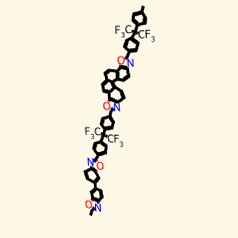 Cc1ccc(C(c2ccc(-c3nc4ccc5c(ccc6ccc7c(ccc8nc(-c9ccc(C(c%10ccc(-c%11nc%12ccc(-c%13ccc%14nc(C)oc%14c%13)cc%12o%11)cc%10)(C(F)(F)F)C(F)(F)F)cc9)oc87)c65)c4o3)cc2)(C(F)(F)F)C(F)(F)F)cc1